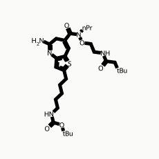 CCCN(OCCNC(=O)CC(C)(C)C)C(=O)C1=Cc2sc(CCCCCNC(=O)OC(C)(C)C)cc2N=C(N)C1